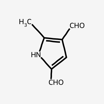 Cc1[nH]c(C=O)cc1C=O